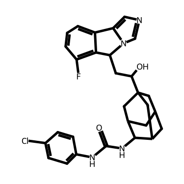 O=C(Nc1ccc(Cl)cc1)NC1C2CC3CC1CC(C(O)CC1c4c(F)cccc4-c4cncn41)(C3)C2